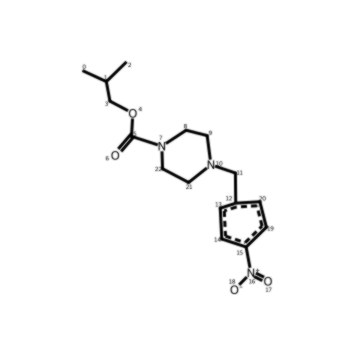 CC(C)COC(=O)N1CCN(Cc2ccc([N+](=O)[O-])cc2)CC1